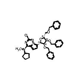 CN(c1nc(Cl)nn2c([C@@H]3O[C@H](COCc4ccccc4)[C@@H](OCc4ccccc4)[C@H]3OCc3ccccc3)ccc12)C1CCCC1